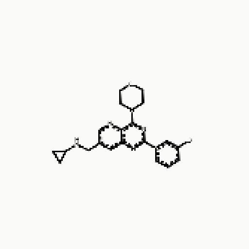 Oc1cccc(-c2nc(N3CCOCC3)c3ncc(CNC4CC4)cc3n2)c1